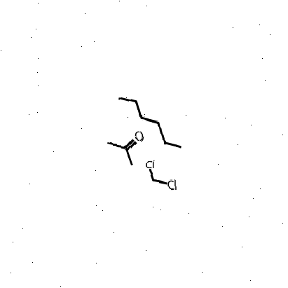 CC(C)=O.CCCCCC.ClCCl